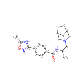 CC(CN1CC2CCC(C2)C1)NC(=O)c1ccc(-c2noc(C(F)(F)F)n2)cc1